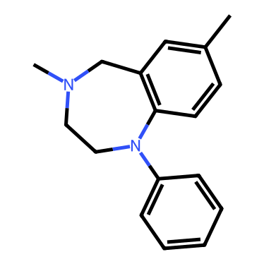 Cc1ccc2c(c1)CN(C)CCN2c1ccccc1